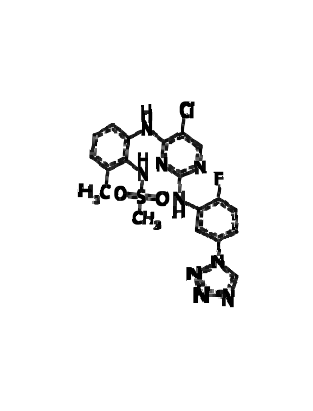 Cc1cccc(Nc2nc(Nc3cc(-n4cnnn4)ccc3F)ncc2Cl)c1NS(C)(=O)=O